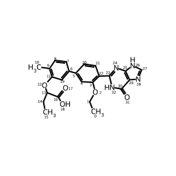 CCOc1cc(-c2ccc(C)c(OC(CC)C(=O)O)c2)ccc1-c1nc2[nH]cnc2c(=O)[nH]1